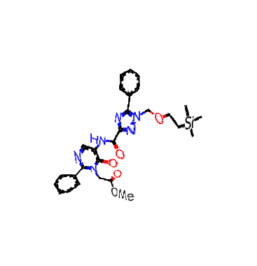 COC(=O)Cn1c(-c2ccccc2)ncc(NC(=O)c2nc(-c3ccccc3)n(COCC[Si](C)(C)C)n2)c1=O